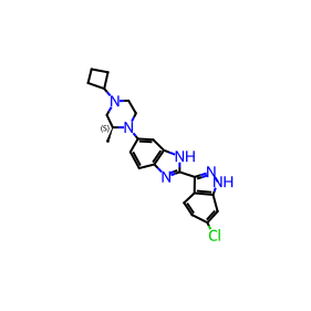 C[C@H]1CN(C2CCC2)CCN1c1ccc2nc(-c3n[nH]c4cc(Cl)ccc34)[nH]c2c1